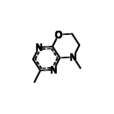 Cc1cnc2c(n1)N(C)CCO2